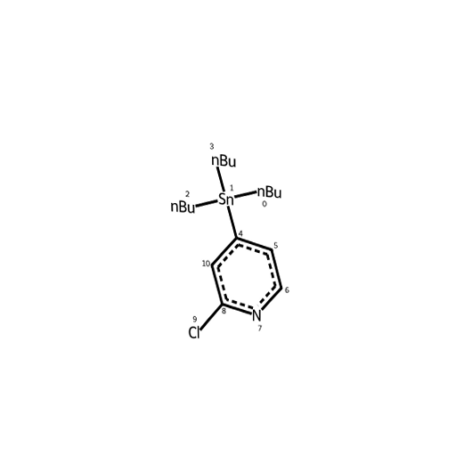 CCC[CH2][Sn]([CH2]CCC)([CH2]CCC)[c]1ccnc(Cl)c1